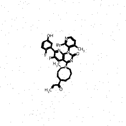 C=CC(=O)C1CCCCN(c2nc(=O)n(-c3c(C)ccnc3C(C)C)c3nc(-c4cc(O)ccc4F)c(F)cc23)[C@@H](C)CC1